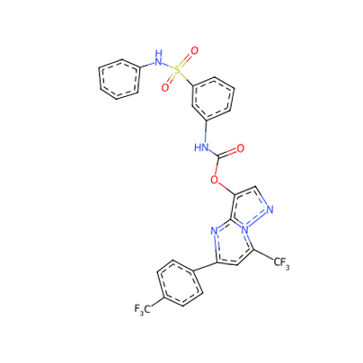 O=C(Nc1cccc(S(=O)(=O)Nc2ccccc2)c1)Oc1cnn2c(C(F)(F)F)cc(-c3ccc(C(F)(F)F)cc3)nc12